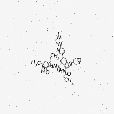 C=CC(=O)Nc1cn(C2CCOCC2)c2cc(-c3ccc(N4CCN(I)CC4)nc3)cc(C(=O)NCc3c(CCC)cc(C)[nH]c3=O)c12